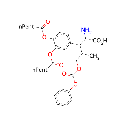 CCCCCC(=O)Oc1ccc(C(C(C)COC(=O)Oc2ccccc2)[C@H](N)C(=O)O)cc1OC(=O)CCCCC